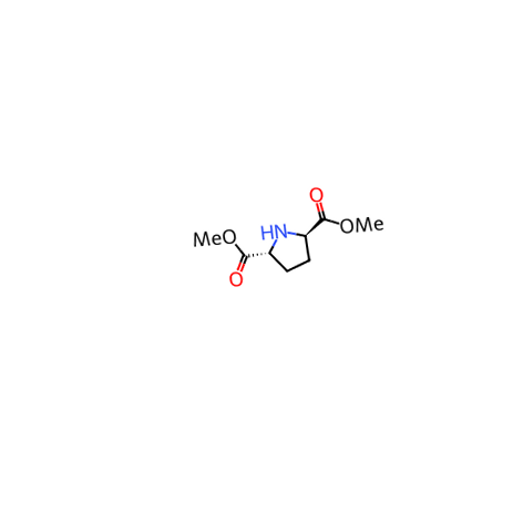 COC(=O)[C@H]1CC[C@H](C(=O)OC)N1